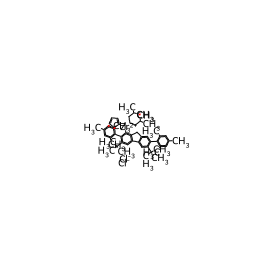 Cc1cc(C)c(-c2cc3c(cc2C(C)(C)C)-c2cc(C(C)(C)C)c(-c4c(C)cc(C)cc4C)[c]([Zr+2]([C]4=CC=CC4)=[C](CC(C)C)CC(C)C)c2C3)c(C)c1.[Cl-].[Cl-]